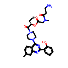 Cc1ccc2c(N3CCN(C(=O)[C@@H](CC(C)C)OC(=O)CN(C)C(=O)CCN)CC3)nc(-c3ccccc3O)nc2c1